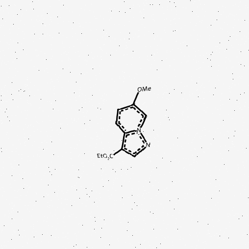 CCOC(=O)c1cnn2cc(OC)ccc12